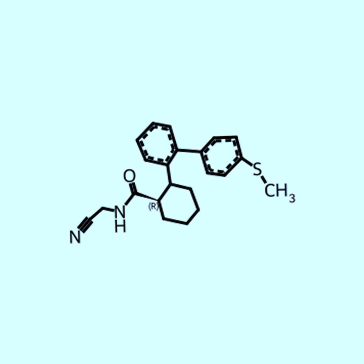 CSc1ccc(-c2ccccc2C2CCCC[C@H]2C(=O)NCC#N)cc1